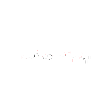 C=C(C)C(=O)OCCCC(O)C(O)CCCOc1ccc2cc(-c3sc(CCCO)cc3OC(F)(F)F)oc2c1